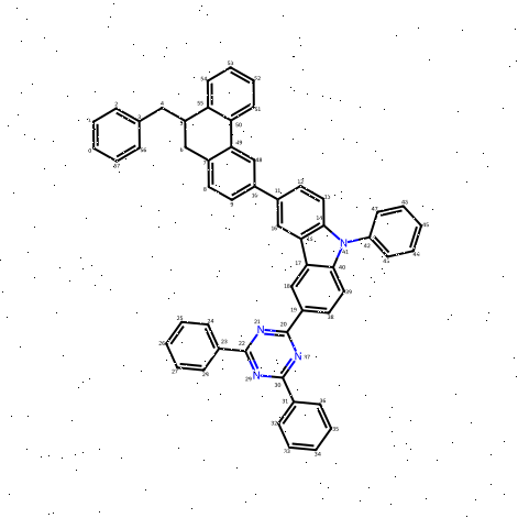 c1ccc(CC2Cc3ccc(-c4ccc5c(c4)c4cc(-c6nc(-c7ccccc7)nc(-c7ccccc7)n6)ccc4n5-c4ccccc4)cc3-c3ccccc32)cc1